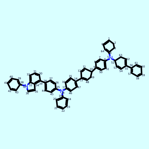 C1=CCCC(N(c2ccc(C3C=CC(c4ccc(N(c5ccccc5)c5ccc(-c6cccc7c6ccn7-c6ccccc6)cc5)cc4)=CC3)cc2)C2C=CC(c3ccccc3)=CC2)=C1